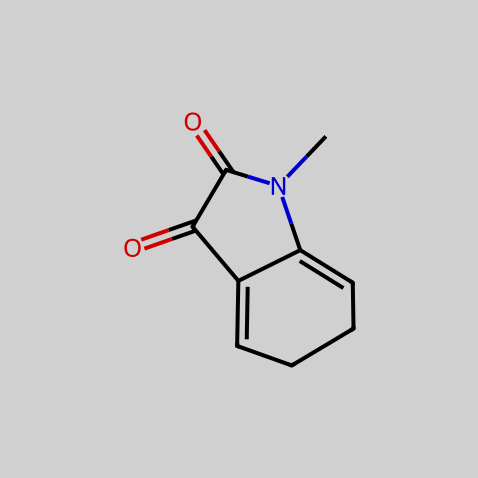 CN1C(=O)C(=O)C2=CCCC=C21